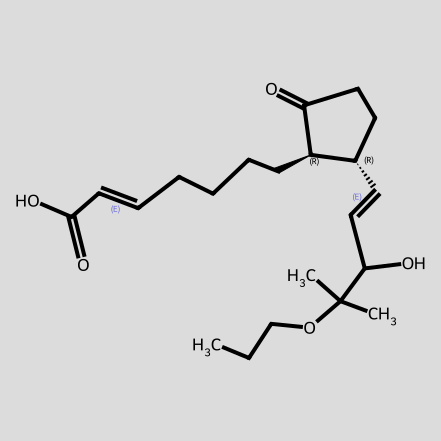 CCCOC(C)(C)C(O)/C=C/[C@H]1CCC(=O)[C@@H]1CCCC/C=C/C(=O)O